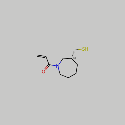 C=CC(=O)N1CCCC[C@@H](CS)C1